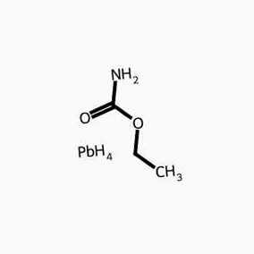 CCOC(N)=O.[PbH4]